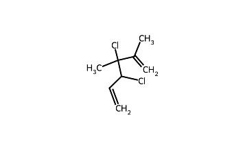 C=CC(Cl)C(C)(Cl)C(=C)C